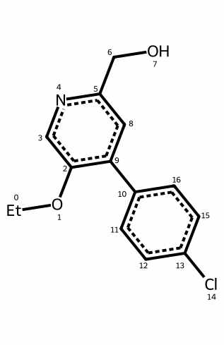 CCOc1cnc(CO)cc1-c1ccc(Cl)cc1